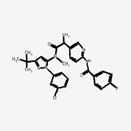 CC(C(=O)N(C)c1cc(C(C)(C)C)nn1-c1cccc(Cl)c1)c1ccc(NC(=O)c2ccc(F)cc2)nc1